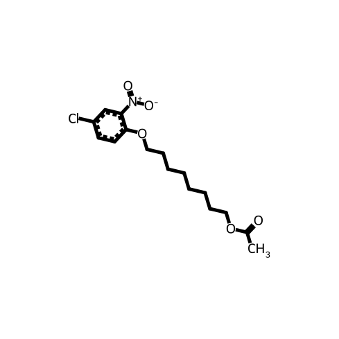 CC(=O)OCCCCCCCCOc1ccc(Cl)cc1[N+](=O)[O-]